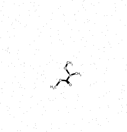 COC(=O)N(C)OC